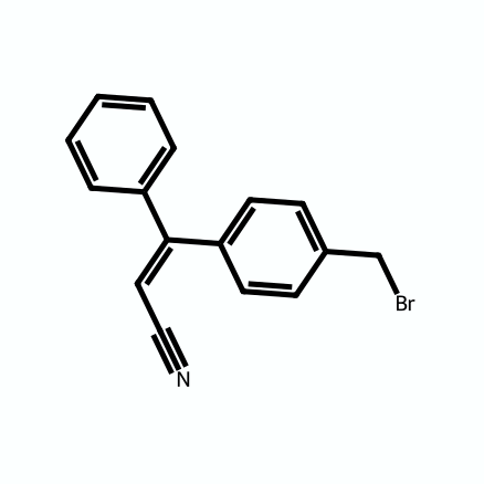 N#CC=C(c1ccccc1)c1ccc(CBr)cc1